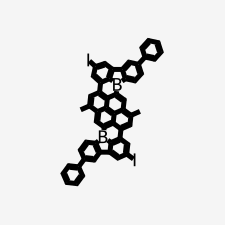 Cc1cc2c3c(cc4c(C)cc5c6c(cc1c3c46)B1c3ccc(-c4ccccc4)cc3-c3cc(I)cc-5c31)B1c3ccc(-c4ccccc4)cc3-c3cc(I)cc-2c31